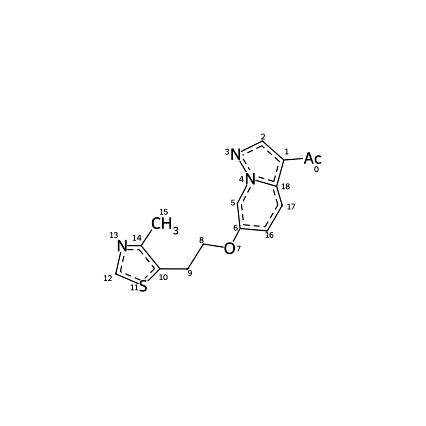 CC(=O)c1cnn2cc(OCCc3scnc3C)ccc12